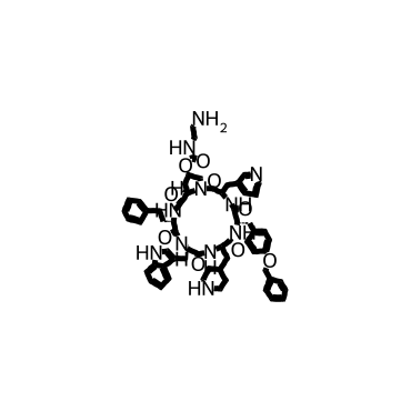 NCCNC(=O)O[C@@H]1C[C@H]2C(=O)N[C@@H](CCc3ccccc3)C(=O)N[C@H](Cc3c[nH]c4ccccc34)C(=O)NC(CC3CCNCC3)C(=O)N[C@@H](Cc3ccc(OCc4ccccc4)cc3)C(=O)NC(Cc3cccnc3)C(=O)N2C1